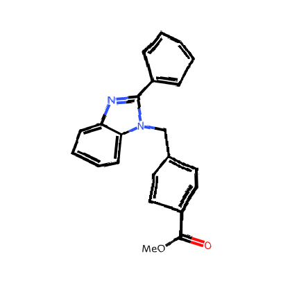 COC(=O)c1ccc(Cn2c(-c3ccccc3)nc3ccccc32)cc1